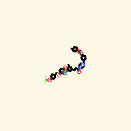 Cc1ccc(OCCc2ccc(CN3CCN(C(=O)C=Cc4cc(C)c(Oc5ccc(OCc6ccc(OC(F)F)cc6)cn5)c(Cl)c4)CC3)cc2)cc1